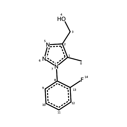 Cc1c(CO)nnn1-c1ccccc1F